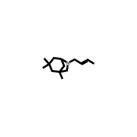 C/C=C/CN1CC2(C)CC1CC(C)(C)C2